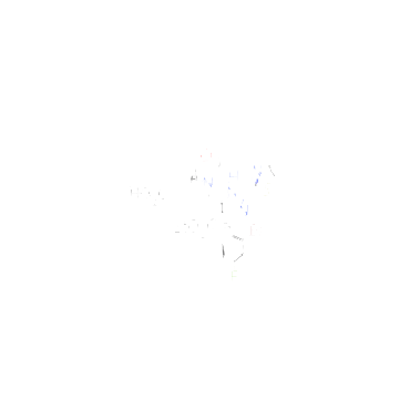 CCOC(=O)C1=C(CN2CCOC[C@H]2CCC(=O)O)NC(c2nccs2)=N[C@@H]1c1ccc(F)cc1Br